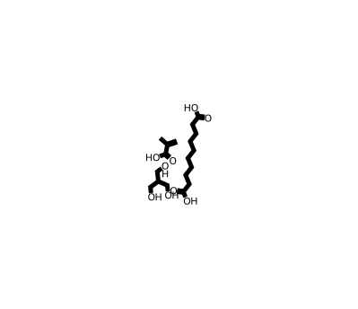 C=C(C)C(=O)O.O=C(O)CCCCCCCCC(=O)O.OCC(CO)CO